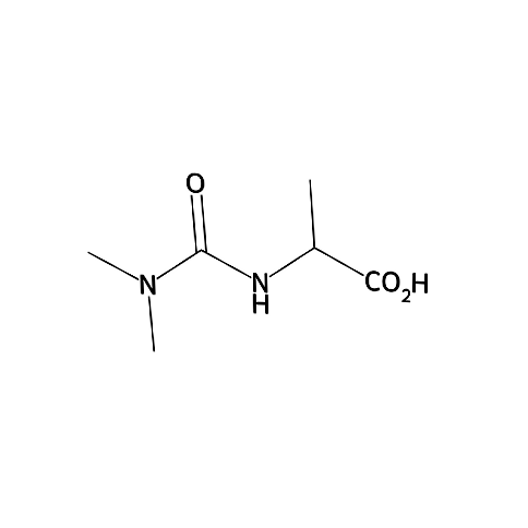 CC(NC(=O)N(C)C)C(=O)O